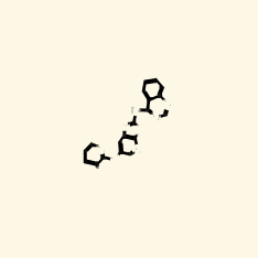 Fc1cccnc1Sc1cnc2sc(Nc3ncnc4ccccc34)nc2c1